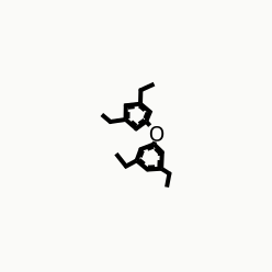 CCc1cc(CC)cc(Oc2cc(CC)cc(CC)c2)c1